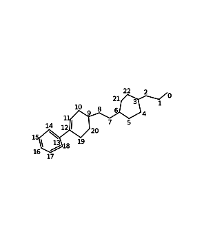 CCCC1CCC(CCC2CC=C(c3ccccc3)CC2)CC1